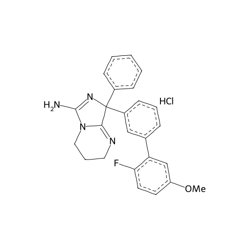 COc1ccc(F)c(-c2cccc(C3(c4ccccc4)N=C(N)N4CCCN=C43)c2)c1.Cl